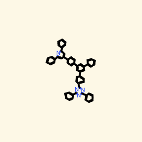 c1ccc(-c2cc(-c3ccc(-c4cc(-c5ccccc5)nc(-c5ccccc5)c4)cc3)cc(-c3ccc(-c4nc(-c5ccccc5)nc(-c5ccccc5)n4)cc3)c2)cc1